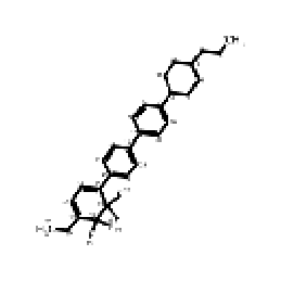 CCCC1CCC(c2ccc(-c3ccc(C4=CC=C(CC)C(F)(F)C4(F)F)cc3)cc2)CC1